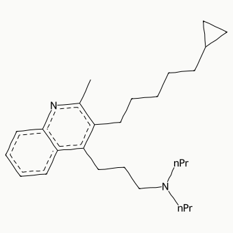 CCCN(CCC)CCCc1c(CCCCCC2CC2)c(C)nc2ccccc12